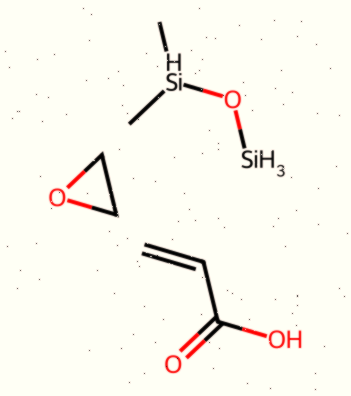 C1CO1.C=CC(=O)O.C[SiH](C)O[SiH3]